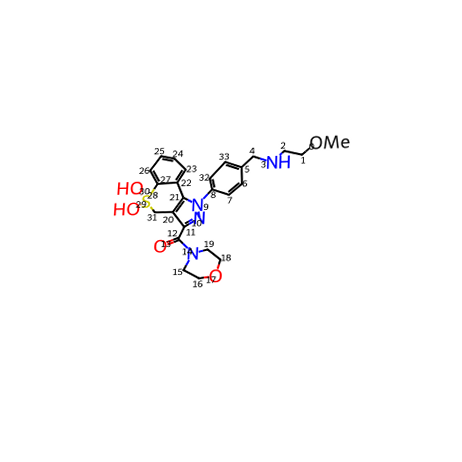 COCCNCc1ccc(-n2nc(C(=O)N3CCOCC3)c3c2-c2ccccc2S(O)(O)C3)cc1